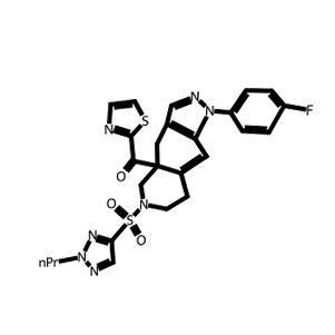 CCCn1ncc(S(=O)(=O)N2CCC3=Cc4c(cnn4-c4ccc(F)cc4)CC3(C(=O)c3nccs3)C2)n1